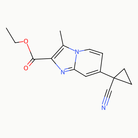 CCOC(=O)c1nc2cc(C3(C#N)CC3)ccn2c1C